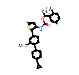 COc1cc(-c2sc(F)cc2NC(=O)OC(C)c2cc(F)ccc2C)ccc1-c1ccc(C2CC2)cc1